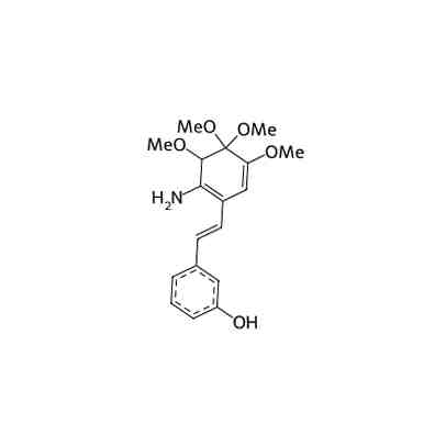 COC1=CC(C=Cc2cccc(O)c2)=C(N)C(OC)C1(OC)OC